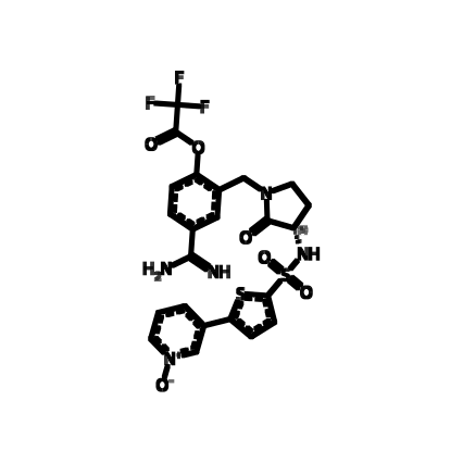 N=C(N)c1ccc(OC(=O)C(F)(F)F)c(CN2CC[C@H](NS(=O)(=O)c3ccc(-c4ccc[n+]([O-])c4)s3)C2=O)c1